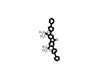 CC(C)(C)c1cc2c(cc1-c1ccc(-c3ccccc3)cc1)C(=O)c1cc(-c3ccc(-c4ccccc4)cc3)c(C(C)(C)C)cc1-2